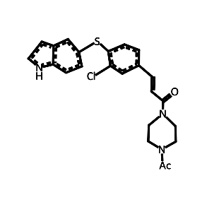 CC(=O)N1CCN(C(=O)C=Cc2ccc(Sc3ccc4[nH]ccc4c3)c(Cl)c2)CC1